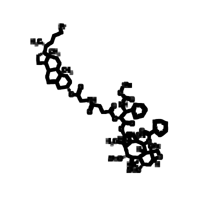 CO[C@H]1C(=O)[C@]2(C)[C@@H](OC)C[C@H]3OC[C@@]3(OC(C)=O)[C@H]2[C@H](OC(=O)c2ccccc2)[C@]2(O)C[C@H](OC(=O)[C@H](OC(=O)CCC(=O)NCC(=O)O[C@H]3CC[C@@]4(C)C(=CCC5C4CC[C@@]4(C)C5CC[C@@H]4[C@H](C)CCCC(C)C)C3)[C@@H](NC(=O)OC(C)(C)C)c3ccccc3)C(C)=C1C2(C)C